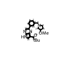 COC1CCN(Cc2cccc(-c3cnc4[nH]cc(C(=O)C(C)(C)C)c4n3)c2)C1